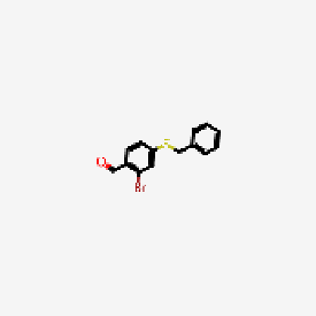 O=Cc1ccc(SCc2ccccc2)cc1Br